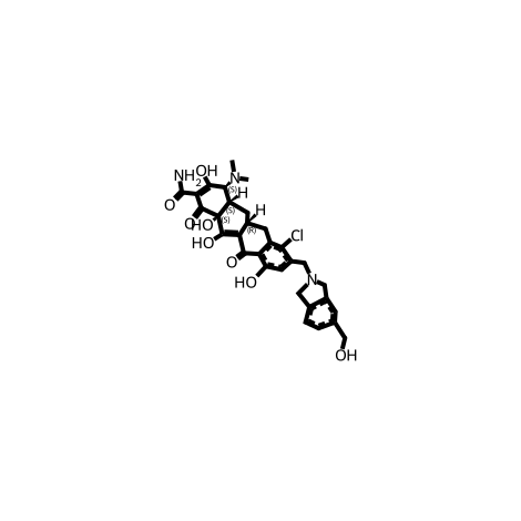 CN(C)[C@@H]1C(O)=C(C(N)=O)C(=O)[C@@]2(O)C(O)=C3C(=O)c4c(O)cc(CN5Cc6ccc(CO)cc6C5)c(Cl)c4C[C@H]3C[C@@H]12